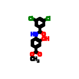 COC(=O)c1ccc(NC(=O)c2cc(Cl)cc(Cl)c2)c(O)c1